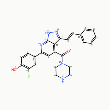 O=C(c1cc(-c2ccc(O)c(F)c2)nc2[nH]nc(/C=C/c3ccccc3)c12)N1CCNCC1